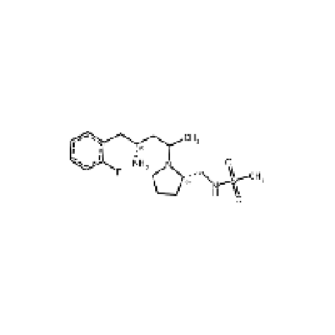 CC(C[C@H](N)Cc1ccccc1F)N1CCC[C@H]1CNS(C)(=O)=O